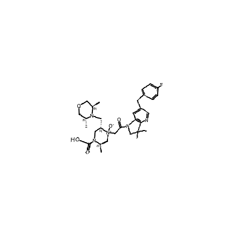 C[C@@H]1C[N+]([O-])(CC(=O)N2CC(C)(C)c3ncc(Cc4ccc(F)cc4)cc32)[C@@H](CN2[C@H](C)COC[C@H]2C)CN1C(=O)O